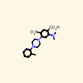 Cc1ccccc1N1CCN(c2cc(N(C)C)c(C(=O)O)cc2[N+](=O)[O-])CC1